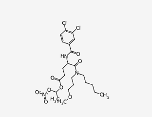 CCCCCN(CCCOC)C(=O)C(CCC(=O)OC(C)O[N+](=O)[O-])NC(=O)c1ccc(Cl)c(Cl)c1